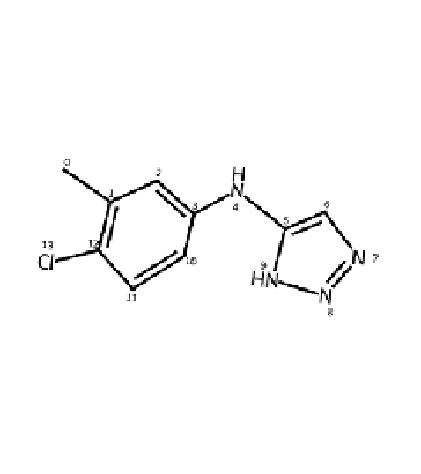 Cc1cc(Nc2cnn[nH]2)ccc1Cl